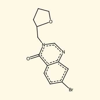 O=c1c2ccc(Br)cc2ncn1CC1CCCO1